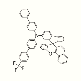 FC(F)(F)c1ccc(-c2ccc(N(c3ccc(-c4ccccc4)cc3)c3ccc4c(c3)C3(c5ccccc5Oc5c3ccc3ccccc53)c3ccccc3-4)cc2)cc1